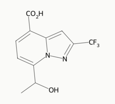 CC(O)c1ccc(C(=O)O)c2cc(C(F)(F)F)nn12